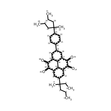 CCCC(C)(CC)c1cc2c3c(c1)c(=O)c(=O)c1cc(-c4ccc(C(C)(CCC)CCC)cc4)cc(c1-3)c(=O)c2=O